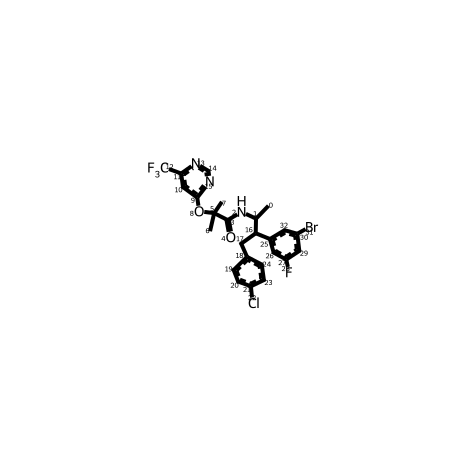 CC(NC(=O)C(C)(C)Oc1cc(C(F)(F)F)ncn1)C(Cc1ccc(Cl)cc1)c1cc(F)cc(Br)c1